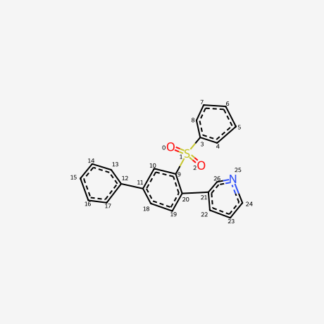 O=S(=O)(c1ccccc1)c1cc(-c2ccccc2)ccc1-c1cccnc1